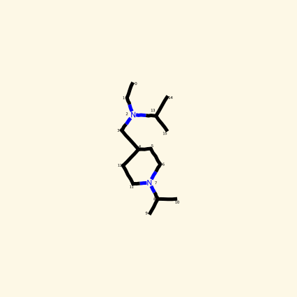 CCN(CC1CCN(C(C)C)CC1)C(C)C